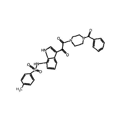 Cc1ccc(S(=O)(=O)Nc2cccc3c(C(=O)C(=O)N4CCN(C(=O)c5ccccc5)CC4)c[nH]c23)cc1